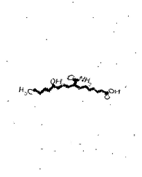 CCCCCC(O)CCCC(CCCCCCC(=O)O)C(N)=O